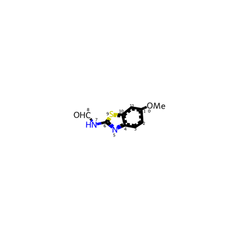 COc1ccc2nc(NC=O)sc2c1